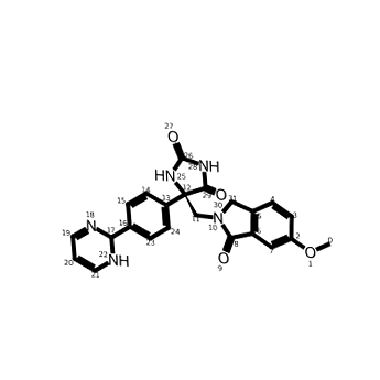 COc1ccc2c(c1)C(=O)N(C[C@@]1(c3ccc(C4N=CC=CN4)cc3)NC(=O)NC1=O)C2